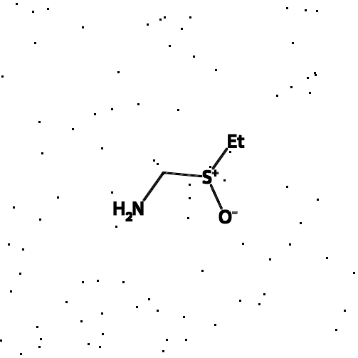 CC[S+]([O-])CN